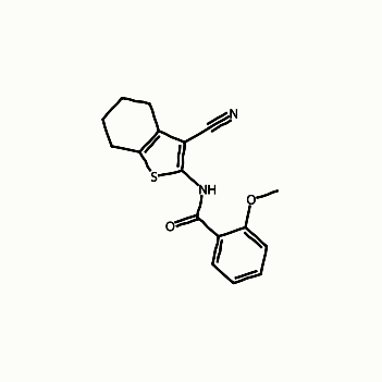 COc1ccccc1C(=O)Nc1sc2c(c1C#N)CCCC2